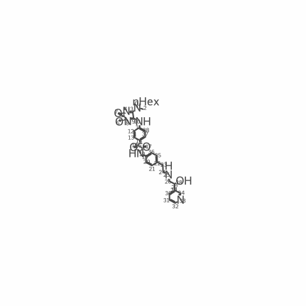 CCCCCCN(C)C1=NS(=O)(=O)N=C1Nc1ccc(S(=O)(=O)Nc2ccc(CCNCC(O)c3cccnc3)cc2)cc1